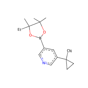 CCC1(C)OB(c2cncc(C3(C#N)CC3)c2)OC1(C)C